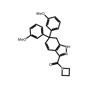 COc1cccc(C2(c3cccc(OC)c3)C=Cc3c(C(=O)N4CCC4)n[nH]c3C2)c1